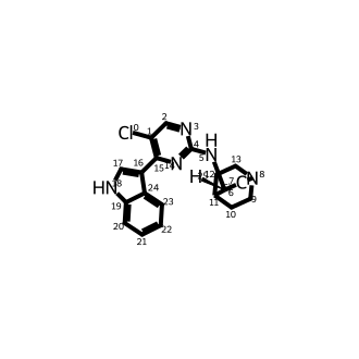 Clc1cnc(N[C@@H]2CN3CCC2CC3)nc1-c1c[nH]c2ccccc12